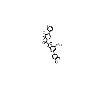 CC(C)(C)c1cc(-c2ccc(Cl)c(F)c2)nc2cc(C(=O)N3CCN(c4cccnc4)C(=O)C3(C)C)oc12